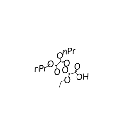 CCCOC(=O)C(=O)OCCC.CCOC(=O)C(=O)O